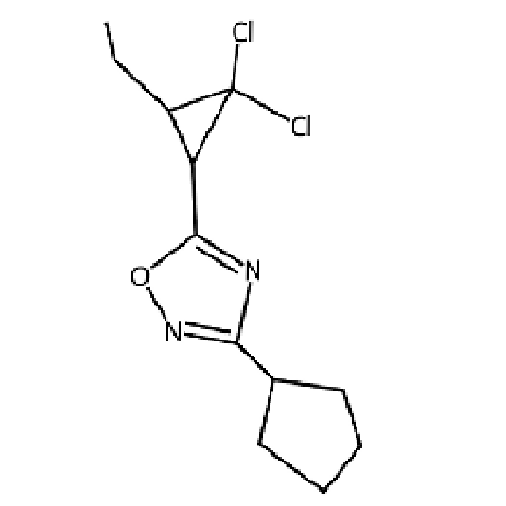 CCC1C(c2nc(C3CCCC3)no2)C1(Cl)Cl